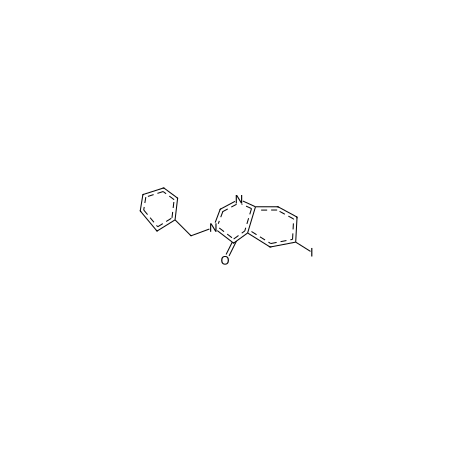 O=c1c2cc(I)ccc2ncn1Cc1ccccc1